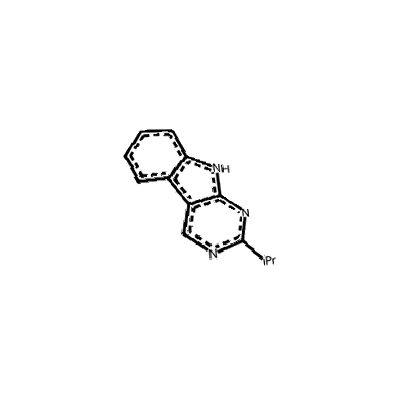 CC(C)c1ncc2c(n1)[nH]c1ccccc12